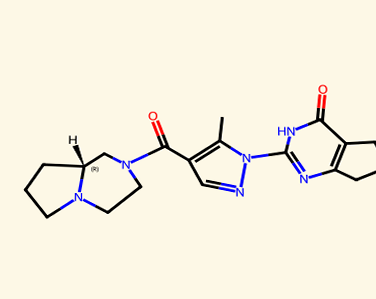 Cc1c(C(=O)N2CCN3CCC[C@@H]3C2)cnn1-c1nc2c(c(=O)[nH]1)CCC2